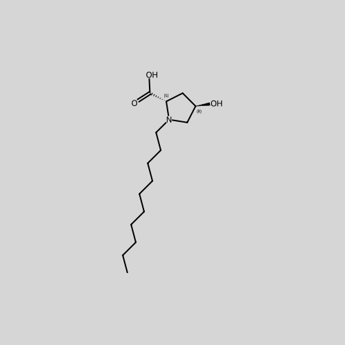 CCCCCCCCCCN1C[C@H](O)C[C@H]1C(=O)O